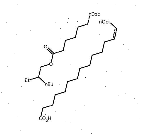 CCCCCCCC/C=C\CCCCCCCCCCCC(=O)O.CCCCCCCCCCCCCCCC(=O)OCC(CC)CCCC